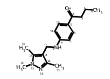 CCCC(=O)c1ccc(NCc2c(C)nn(C)c2C)cc1